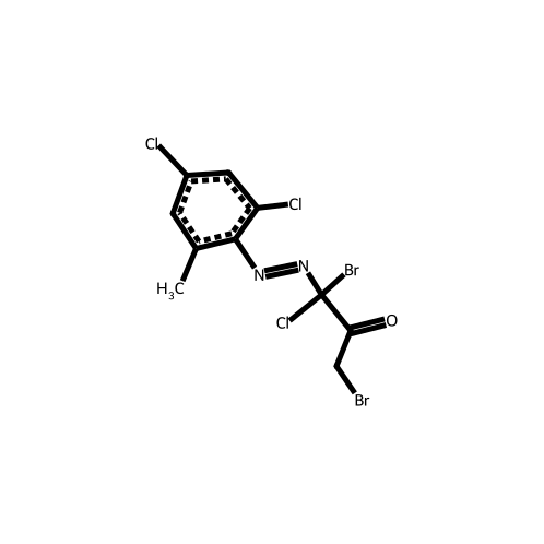 Cc1cc(Cl)cc(Cl)c1/N=N/C(Cl)(Br)C(=O)CBr